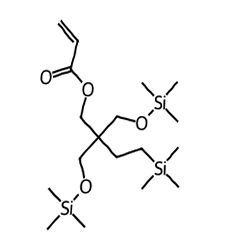 C=CC(=O)OCC(CC[Si](C)(C)C)(CO[Si](C)(C)C)CO[Si](C)(C)C